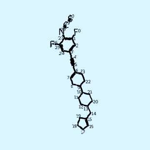 Fc1cc(C#CC2=CCC(C3CCC(CC4=CCCC4)CC3)CC2)cc(F)c1N=C=S